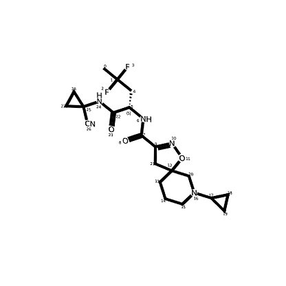 CC(F)(F)C[C@H](NC(=O)C1=NOC2(CCCN(C3CC3)C2)C1)C(=O)NC1(C#N)CC1